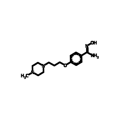 CN1CCN(CCCOc2ccc(C(N)=NO)cc2)CC1